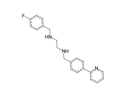 Fc1ccc(CNCCNCc2ccc(-c3ccccn3)cc2)cc1